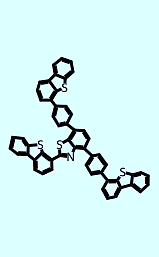 c1ccc2c(c1)sc1c(-c3ccc(-c4ccc(-c5ccc(-c6cccc7c6sc6ccccc67)cc5)c5sc(-c6cccc7c6sc6ccccc67)nc45)cc3)cccc12